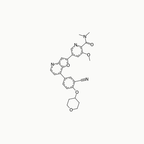 COc1cc(-c2cc3nccc(-c4ccc(OC5CCOCC5)c(C#N)c4)c3o2)cnc1C(=O)N(C)C